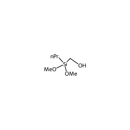 CCC[Si](CO)(OC)OC